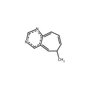 CC1C=CC=c2ncncc2=C1